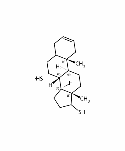 C[C@]12CC=CCC1CC[C@@H]1[C@@H]2CC[C@]2(C)C(S)CC[C@@H]12.[SH]